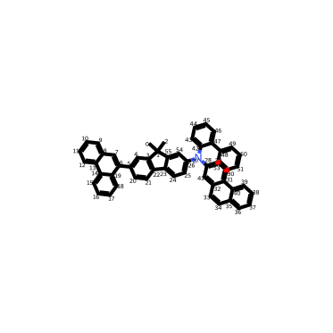 CC1(C)c2cc(-c3cc4ccccc4c4ccccc34)ccc2-c2ccc(N(c3ccc4c(ccc5ccccc54)c3)c3ccccc3-c3ccccc3)cc21